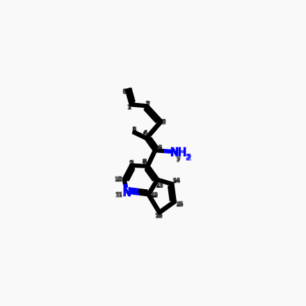 C=C/C=C\C(C)=C(/N)c1ccnc2c1C=CC2